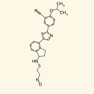 CC(C)Oc1ccc(-c2ncc(-c3cccc4c3CCC4NSCCN=O)s2)cc1C#N